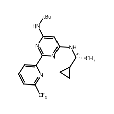 C[C@@H](Nc1cc(NC(C)(C)C)nc(-c2cccc(C(F)(F)F)n2)n1)C1CC1